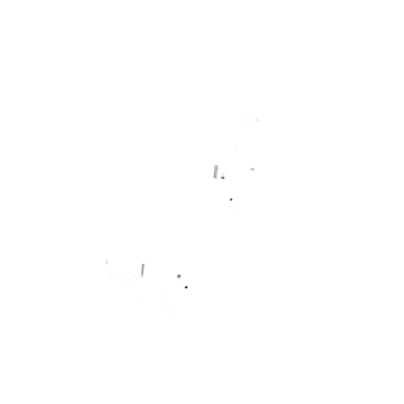 O=Cc1ccc(N2CCC(CC3CCN(C(=O)C(O)(c4ccccc4)C(F)(F)F)CC3)CC2)nc1Cl